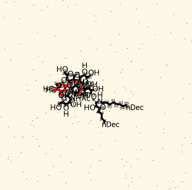 CCCCCCCCCCCCC/C=C/[C@@H](O)[C@H](CO[C@@H]1OC(CO)[C@@H](O[C@@H]2OC(CO)[C@H](O)[C@H](O[C@@H]3OC(CO)[C@@H](O[C@@H]4OC(CO)[C@H](O)[C@H](O[C@H]5OC(CO)[C@H](O)[C@H](O)C5NC(C)=O)C4O[C@H]4OC(C)[C@@H](O)C(O)[C@@H]4O)[C@H](O[C@H]4OC(C)[C@@H](O)C(O)[C@@H]4O)C3NC(C)=O)C2O)[C@H](O)C1O)NC(=O)CCCCCCCCCCCCCCCCC